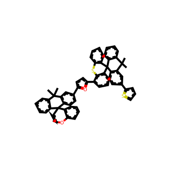 CC1(C)c2ccccc2C2(c3ccccc3Oc3ccccc32)c2ccc(-c3ccc(-c4cccc5c4Sc4ccccc4C54c5ccccc5C(C)(C)c5cc(-c6cccs6)ccc54)o3)cc21